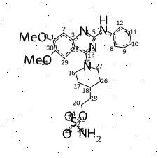 COc1cc2nc(Nc3ccccc3)nc(N3CCC(CCOS(N)(=O)=O)CC3)c2cc1OC